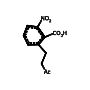 CC(=O)CCc1cccc([N+](=O)[O-])c1C(=O)O